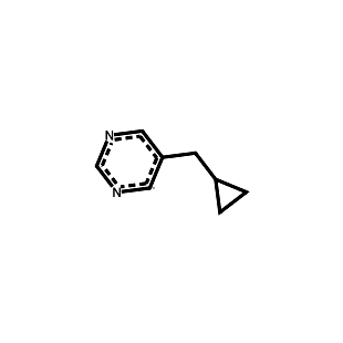 [c]1ncncc1CC1CC1